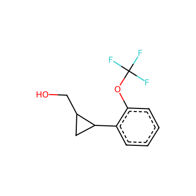 OCC1CC1c1ccccc1OC(F)(F)F